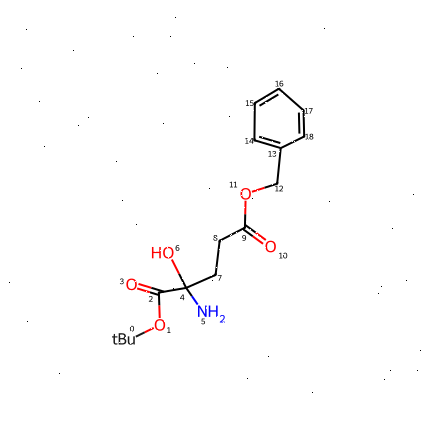 CC(C)(C)OC(=O)C(N)(O)CCC(=O)OCc1ccccc1